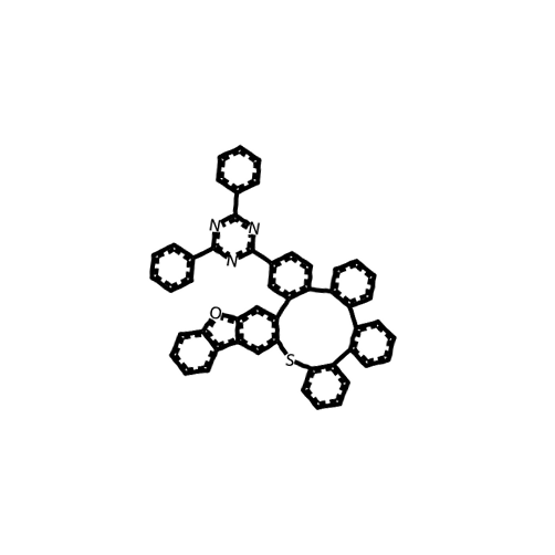 c1ccc(-c2nc(-c3ccccc3)nc(-c3ccc4c(c3)-c3cc5oc6ccccc6c5cc3Sc3ccccc3-c3ccccc3-c3ccccc3-4)n2)cc1